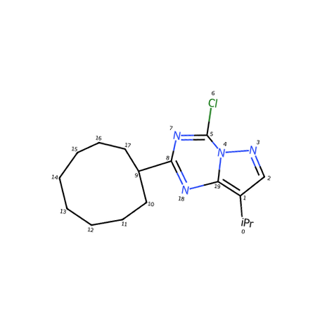 CC(C)c1cnn2c(Cl)nc(C3CCCCCCCC3)nc12